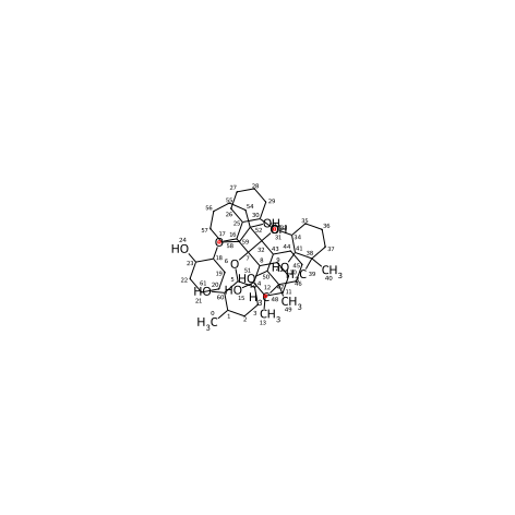 CC1CCCC(OC(C2CCCC(C)C2O)(C(OC2CCCCC2O)C2CCCCC2O)C(OC2CCCC(C)(C)C2O)(C2CCCC(C)(C)C2O)C2(O)CCCCCC2)C1O